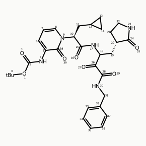 CC(C)(C)OC(=O)Nc1cccn([C@@H](CC2CC2)C(=O)NC(C[C@@H]2CCNC2=O)C(=O)C(=O)NCc2ccccc2)c1=O